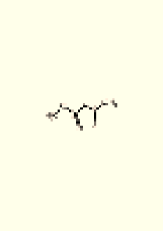 COC(=O)CC(C)F